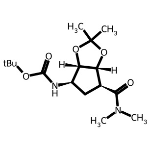 CN(C)C(=O)[C@H]1C[C@@H](NC(=O)OC(C)(C)C)[C@@H]2OC(C)(C)O[C@@H]21